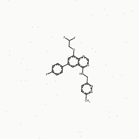 Cc1ccc(CNc2ncnc3c(OCC(F)F)cc(-c4ccc(F)cc4)cc23)nn1